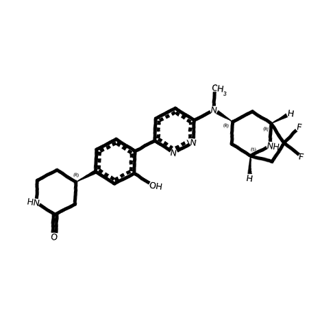 CN(c1ccc(-c2ccc([C@@H]3CCNC(=O)C3)cc2O)nn1)[C@@H]1C[C@H]2CC(F)(F)[C@@H](C1)N2